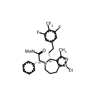 CCn1nc(C)c2c1CCCN([C@@H](C(=O)NC)c1ccccc1)[C@@H]2CCc1cc(F)c(C(F)(F)F)c(F)c1